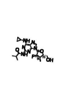 CC(C)C(=O)Nc1nc(NC2CC2)c2ncn([C@@H]3O[C@H](CO)[C@@H](C)[C@H]3F)c2n1